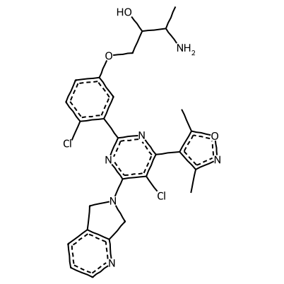 Cc1noc(C)c1-c1nc(-c2cc(OCC(O)C(C)N)ccc2Cl)nc(N2Cc3cccnc3C2)c1Cl